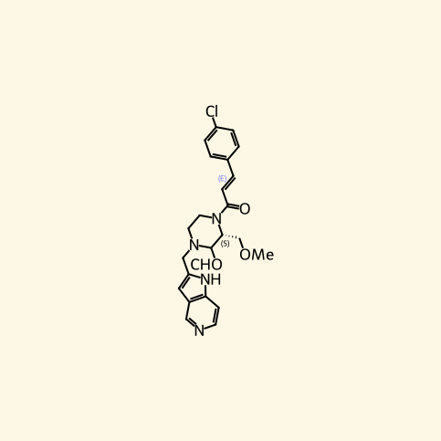 COC[C@@H]1C(C=O)N(Cc2cc3cnccc3[nH]2)CCN1C(=O)/C=C/c1ccc(Cl)cc1